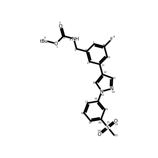 CC(C)(C)OC(=O)NCc1cc(F)cc(-c2cnn(-c3cccc(S(C)(=O)=O)c3)c2)c1